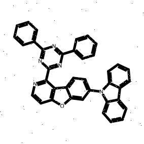 c1ccc(-c2nc(-c3ccccc3)nc(-c3nccc4oc5cc(-n6c7ccccc7c7ccccc76)ccc5c34)n2)cc1